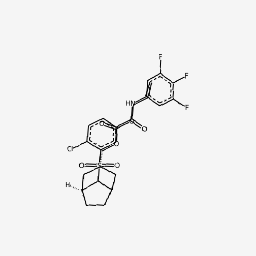 C=CCOC(=O)OC[C@@H]1CC2CC[C@@H](C1)C2S(=O)(=O)c1cc(C(=O)Nc2cc(F)c(F)c(F)c2)ccc1Cl